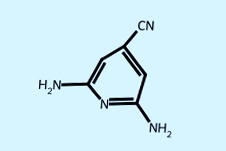 N#Cc1cc(N)nc(N)c1